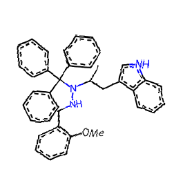 COc1ccccc1CNN(C(C)Cc1c[nH]c2ccccc12)C(c1ccccc1)(c1ccccc1)c1ccccc1